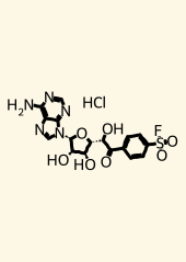 Cl.Nc1ncnc2c1ncn2[C@@H]1O[C@H](C(O)C(=O)c2ccc(S(=O)(=O)F)cc2)[C@@H](O)[C@H]1O